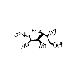 O=NCC(O)C(N=O)C(O)C(CO)N=O